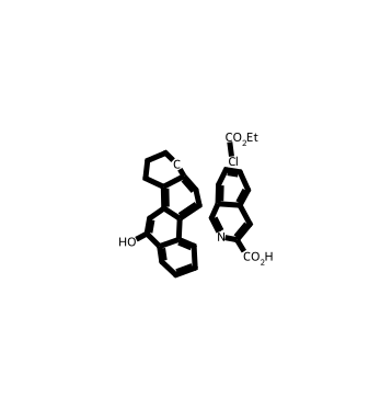 CCOC(=O)Cl.O=C(O)c1cc2ccccc2cn1.Oc1cc2c3c(ccc2c2ccccc12)CCCC3